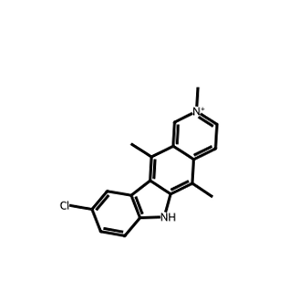 Cc1c2cc[n+](C)cc2c(C)c2c1[nH]c1ccc(Cl)cc12